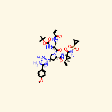 C=CC(=O)NC[C@H](NC(=O)OC(C)(C)C)C(=O)N1C[C@H](N(N)/N=C(\N)c2ccc(OC)cc2)C[C@H]1C(=O)N[C@]1(C(=O)NS(=O)(=O)C2CC2)C[C@H]1C=C